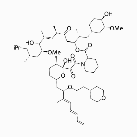 C=C/C=C/C=C(\C)C(C[C@@H]1CC[C@@H](C)[C@](O)(C(=O)C(=O)N2CCCCC2C(=O)O[C@@H](CC(=O)[C@H](C)/C=C(\C)[C@@H](O)[C@H](C[C@H](C)CC(C)C)OC)[C@H](C)C[C@@H]2CC[C@@H](O)[C@H](OC)C2)O1)OCCC1CCOCC1